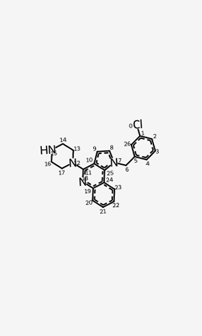 Clc1cccc(Cn2ccc3c(N4CCNCC4)nc4ccccc4c32)c1